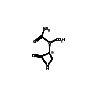 NC(=O)N(C(=O)O)[C@H]1CNC1=O